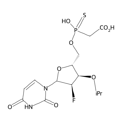 CC(C)O[C@@H]1[C@@H](COP(O)(=S)CC(=O)O)OC(n2ccc(=O)[nH]c2=O)[C@@H]1F